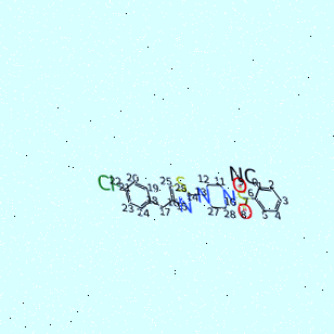 N#Cc1ccccc1S(=O)(=O)N1CCN(c2nc(Cc3ccc(Cl)cc3)cs2)CC1